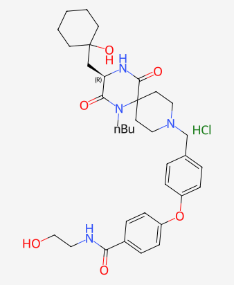 CCCCN1C(=O)[C@@H](CC2(O)CCCCC2)NC(=O)C12CCN(Cc1ccc(Oc3ccc(C(=O)NCCO)cc3)cc1)CC2.Cl